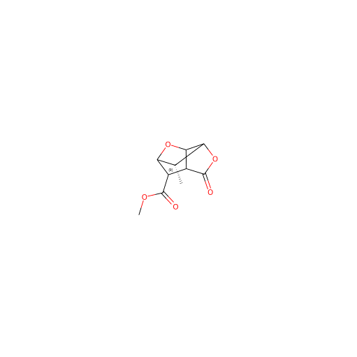 COC(=O)C1C2C(=O)OC3C2OC1[C@H]3C